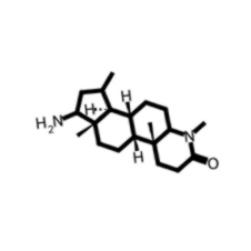 CC1CC(N)[C@@]2(C)CC[C@@H]3[C@@H](CCC4N(C)C(=O)CC[C@@]43C)[C@H]12